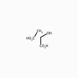 CC(=O)O.O=C(O)CO